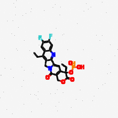 CCc1c2c(nc3cc(F)c(F)cc13)-c1cc3c(c(=O)n1C2)COC(=O)[C@@]3(CC)O[PH](=O)O